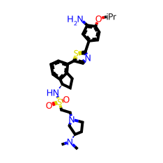 CC(C)Oc1ccc(-c2ncc(-c3cccc4c3CC[C@@H]4NS(=O)(=O)CCN3CC[C@H](N(C)C)C3)s2)cc1N